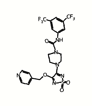 O=C(Nc1cc(C(F)(F)F)cc(C(F)(F)F)c1)N1CCN(C2=NS(=O)(=O)N=C2OCc2ccncc2)CC1